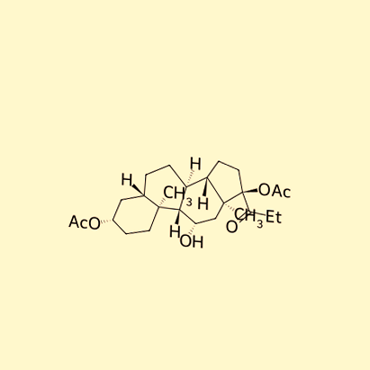 CCC(=O)[C@@]1(OC(C)=O)CC[C@H]2[C@@H]3CC[C@H]4C[C@@H](OC(C)=O)CC[C@]4(C)[C@H]3[C@@H](O)C[C@@]21C